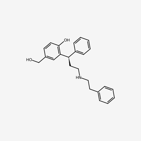 OCc1ccc(O)c([C@H](CCNCCc2ccccc2)c2ccccc2)c1